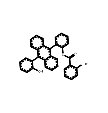 O=Cc1ccccc1C(=O)Oc1ccccc1-c1c2ccccc2c(-c2ccccc2O)c2ccccc12